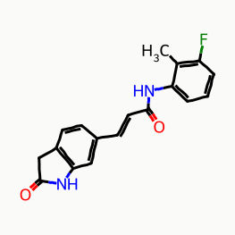 Cc1c(F)cccc1NC(=O)/C=C/c1ccc2c(c1)NC(=O)C2